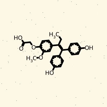 CCC(=C(c1ccc(O)cc1)c1ccc(O)cc1)c1ccc(OCC(=O)O)c(OC)c1